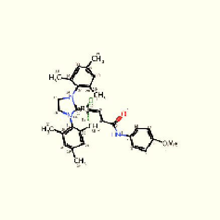 COc1ccc(NC(=O)C[CH]=[Ru]([Cl])([Cl])=[C]2N(c3c(C)cc(C)cc3C)CCN2c2c(C)cc(C)cc2C)cc1